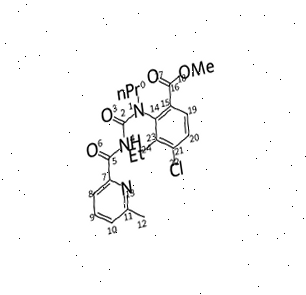 CCCN(C(=O)NC(=O)c1cccc(C)n1)c1c(C(=O)OC)ccc(Cl)c1CC